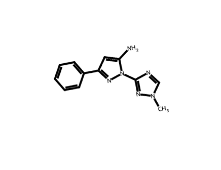 Cn1cnc(-n2nc(-c3ccccc3)cc2N)n1